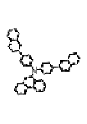 c1ccc2cc(-c3ccc(N(c4ccc(-c5ccc6ccccc6c5)cc4)c4cc5ccccc5c5ccccc45)cc3)ccc2c1